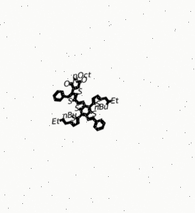 CCCCCCCCN1C(=O)c2sc3c(-c4cc5c(-c6ccc(CC(CC)CCCC)s6)c6sc(-c7ccccc7)cc6c(-c6ccc(CC(CC)CCCC)s6)c5s4)sc(-c4ccccc4)c3c2C1=O